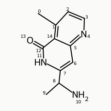 Cc1ccnc2cc(C(C)N)[nH]c(=O)c12